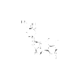 COc1c(F)cc(F)cc1-c1cnc2sc(N3CCC(O)(CN)CC3)nn12